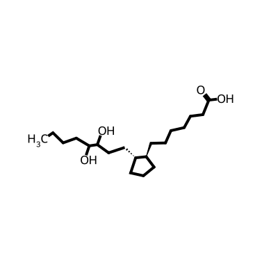 CCCCC(O)C(O)CC[C@H]1CCC[C@@H]1CCCCCCC(=O)O